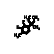 CCC(C)(CC)c1ccc(C)c(F)c1F